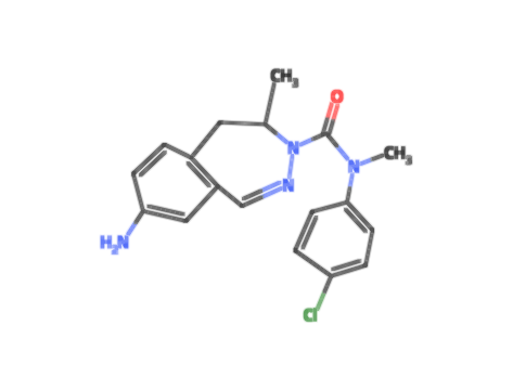 CC1Cc2ccc(N)cc2C=NN1C(=O)N(C)c1ccc(Cl)cc1